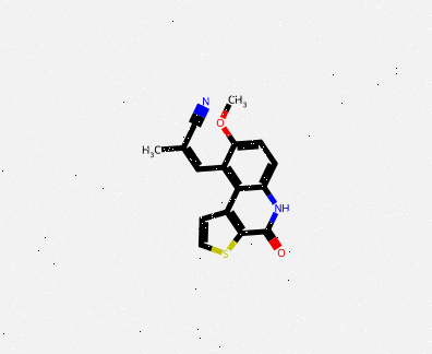 COc1ccc2[nH]c(=O)c3sccc3c2c1C=C(C)C#N